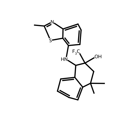 Cc1nc2cccc(NC3c4ccccc4C(C)(C)CC3(O)C(F)(F)F)c2s1